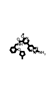 COc1ncc(-c2ccn3nc(N)nc3c2)cc1C(=O)NCc1ccccc1OC1CCC(C)C1